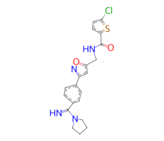 C[C@@H](NC(=O)c1ccc(Cl)s1)c1cc(-c2ccc(C(=N)N3CCCC3)cc2)no1